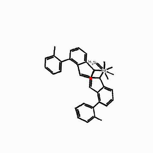 Cc1ccccc1-c1cccc2c1C=C[CH]2[Hf]([CH3])([CH3])([CH3])([CH3])(=[SiH2])[CH]1C=Cc2c(-c3ccccc3C)cccc21